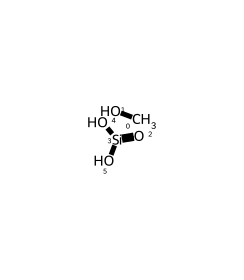 CO.O=[Si](O)O